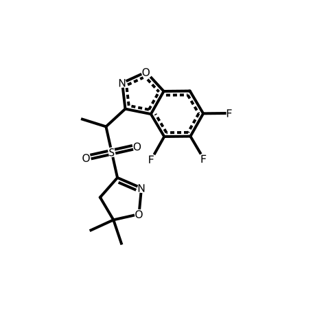 CC(c1noc2cc(F)c(F)c(F)c12)S(=O)(=O)C1=NOC(C)(C)C1